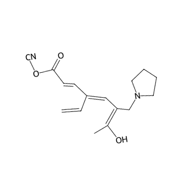 C=CC(/C=C/C(=O)OC#N)=C\C(CN1CCCC1)=C(/C)O